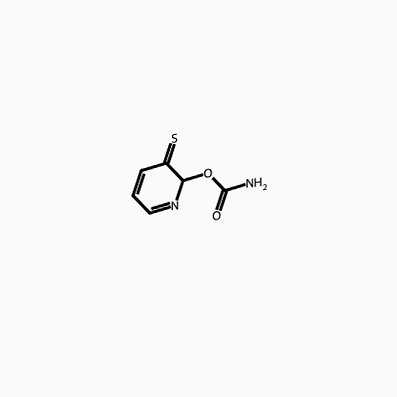 NC(=O)OC1N=CC=CC1=S